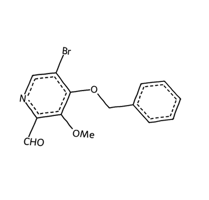 COc1c(C=O)ncc(Br)c1OCc1ccccc1